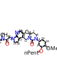 CCCCCOc1cc(N2CC[C@H](C)N(Cc3ccnc4c3ccn4CC(=O)N(C)C)C2=O)ccc1OC